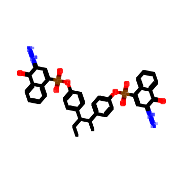 CCC(c1ccc(OS(=O)(=O)C2=CC(=[N+]=[N-])C(=O)c3ccccc32)cc1)C(C)c1ccc(OS(=O)(=O)C2=CC(=[N+]=[N-])C(=O)c3ccccc32)cc1